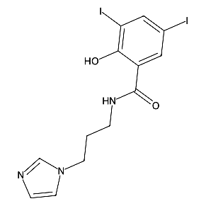 O=C(NCCCn1ccnc1)c1cc(I)cc(I)c1O